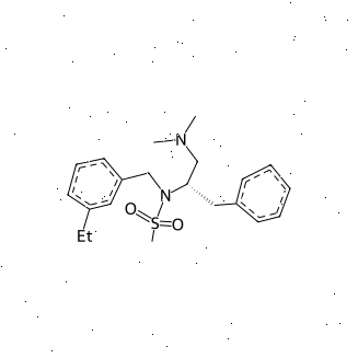 CCc1cccc(CN([C@@H](Cc2ccccc2)CN(C)C)S(C)(=O)=O)c1